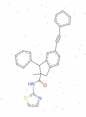 CC1(C(=O)Nc2nccs2)Cc2ccc(C#Cc3ccccc3)cc2C1c1ccccc1